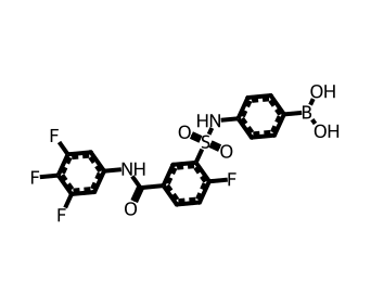 O=C(Nc1cc(F)c(F)c(F)c1)c1ccc(F)c(S(=O)(=O)Nc2ccc(B(O)O)cc2)c1